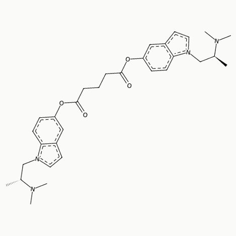 C[C@H](Cn1ccc2cc(OC(=O)CCCC(=O)Oc3ccc4c(ccn4C[C@H](C)N(C)C)c3)ccc21)N(C)C